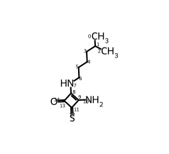 CC(C)CCCCNc1c(N)c(=S)c1=O